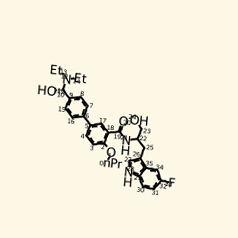 CCCOc1ccc(-c2ccc([C@H](O)N(CC)CC)cc2)cc1C(=O)NC(CO)Cc1c[nH]c2ccc(F)cc12